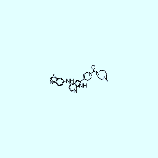 CN1CCCN(C(=O)N2CC=C(c3cc4c(Nc5ccc6ncsc6c5)ccnc4[nH]3)CC2)CC1